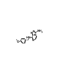 COc1ccc(CNc2nccn3c(N)nnc23)cc1